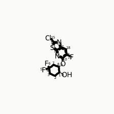 O[C@@H]1CCC(F)(F)C[C@@H]1Oc1nc2sc(Cl)nc2cc1F